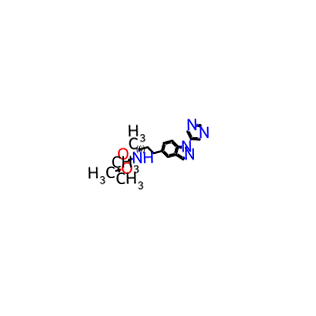 C[C@@H](CCc1ccc2c(cnn2-c2cncnc2)c1)NC(=O)OC(C)(C)C